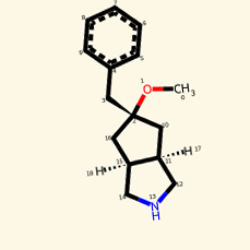 CO[C@]1(Cc2ccccc2)C[C@H]2CNC[C@H]2C1